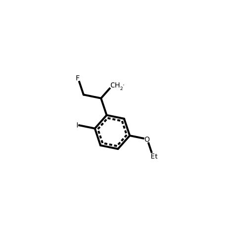 [CH2]C(CF)c1cc(OCC)ccc1I